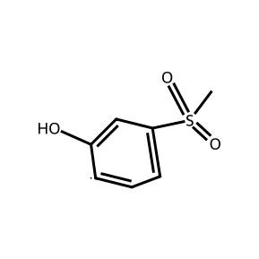 CS(=O)(=O)c1cc[c]c(O)c1